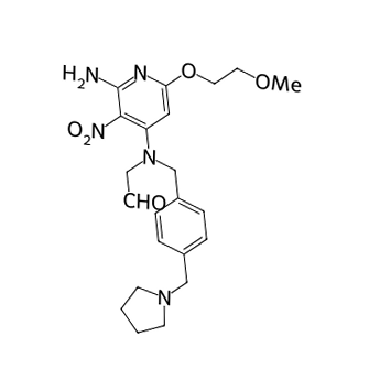 COCCOc1cc(N(CC=O)Cc2ccc(CN3CCCC3)cc2)c([N+](=O)[O-])c(N)n1